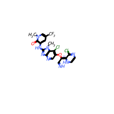 Cn1cc(C(F)(F)F)cc(Nc2nc3ncc(O/C(C=N)=C4/NC=CN=C4Cl)c(Cl)c3n2C)c1=O